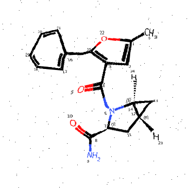 Cc1cc(C(=O)N2[C@H](C(N)=O)C[C@H]3C[C@@H]32)c(-c2ccccc2)o1